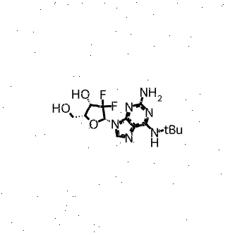 CC(C)(C)Nc1nc(N)nc2c1ncn2[C@@H]1O[C@H](CO)[C@H](O)C1(F)F